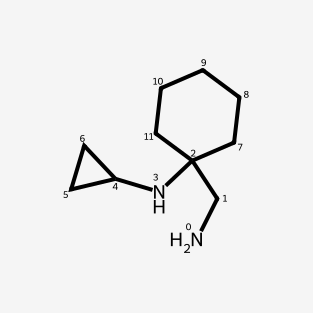 NCC1(NC2CC2)CCCCC1